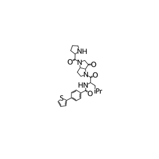 CC(C)CC(NC(=O)c1ccc(-c2cccs2)cc1)C(=O)N1CCC2C1C(=O)CN2C(=O)C1CCCN1